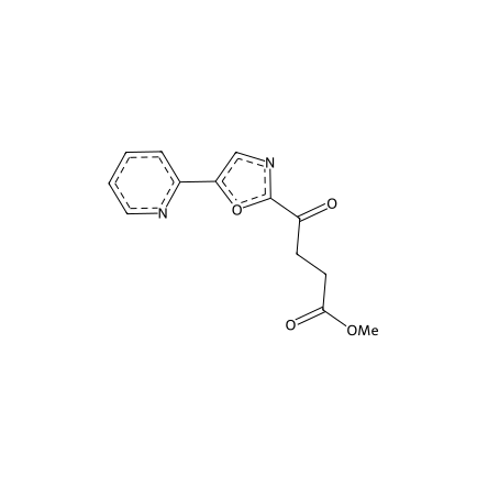 COC(=O)CCC(=O)c1ncc(-c2ccccn2)o1